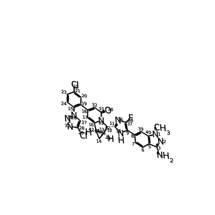 Cn1nc(N)c2ccc(-c3[nH]c([C@@H]4[C@H]5C[C@H]5c5cc(-c6cc(Cl)ccc6-n6cc(Cl)nn6)cc(=O)n54)nc3F)cc21